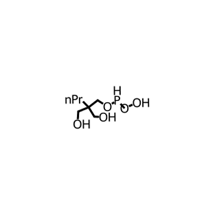 CCCC(CO)(CO)COPOO